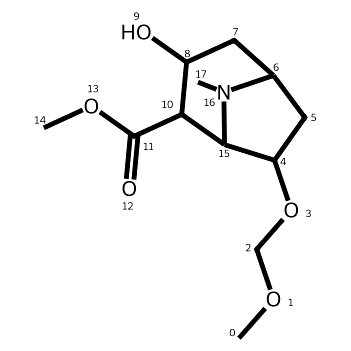 COCOC1CC2CC(O)C(C(=O)OC)C1N2C